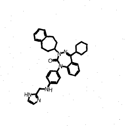 O=C1N(c2ccc(NCc3ncc[nH]3)cc2)c2ccccc2C(C2CCCCC2)=NN1C1CCc2ccccc2CC1